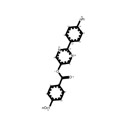 CCCCCCCCc1ccc(C(=O)Oc2cnc(-c3ccc(CCC)cc3)nc2)cc1